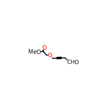 COC(=O)COCC#CCC=O